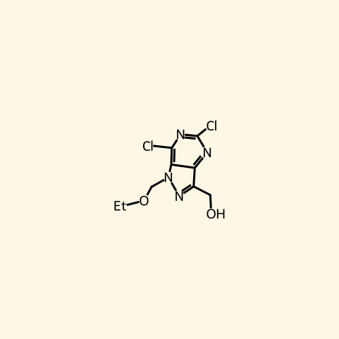 CCOCn1nc(CO)c2nc(Cl)nc(Cl)c21